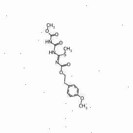 COC(=O)NC(=O)N/C(=N/C(=O)OCCc1ccc(OC)cc1)SC